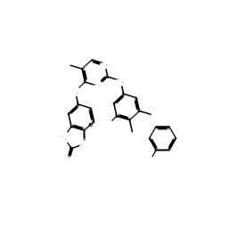 COc1cc(Nc2ncc(C)c(Nc3ccc4oc(=O)[nH]c4c3)n2)cc(C)c1C.O=S(=O)(O)c1ccccc1